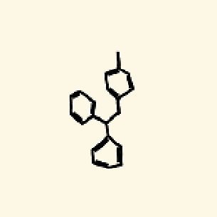 Cc1ccc(C[C](c2ccccc2)c2ccccc2)cc1